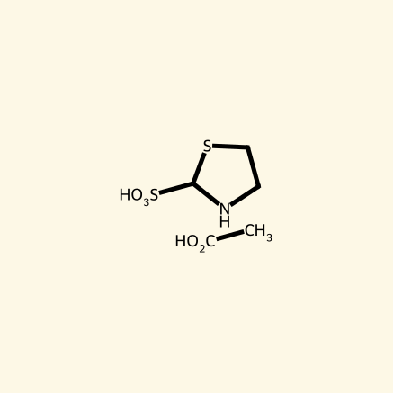 CC(=O)O.O=S(=O)(O)C1NCCS1